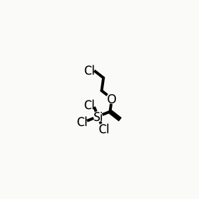 C=C(OCCCl)[Si](Cl)(Cl)Cl